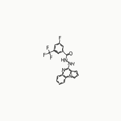 O=C(NNc1nc2ccccc2n2cccc12)c1cc(F)cc(C(F)(F)F)c1